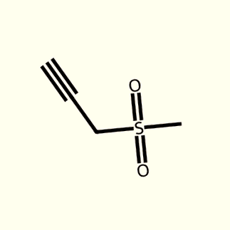 C#CCS(C)(=O)=O